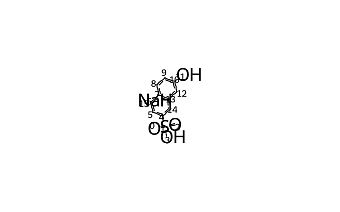 O=S(=O)(O)c1ccc2ccc(O)cc2c1.[NaH]